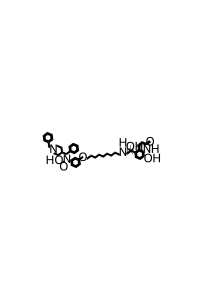 O=C(O)N(c1cccc(OCCCCCCCCCNC[C@H](O)c2ccc(O)c3[nH]c(=O)ccc23)c1)C(c1ccccc1)C1CCN(Cc2ccccc2)CC1